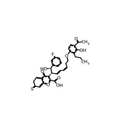 CCCc1c(OCC/C=C\C=C\[C@@H](c2c(C(=O)O)oc3c(c2=O)=CCC(=S)C=3)[C@@H](O)c2cccc(F)c2)ccc(C(C)=O)c1O